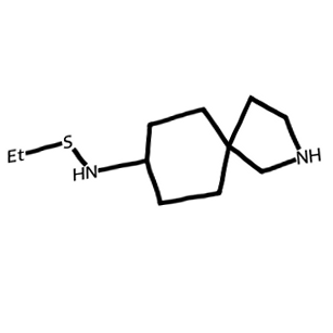 CCSNC1CCC2(CCNC2)CC1